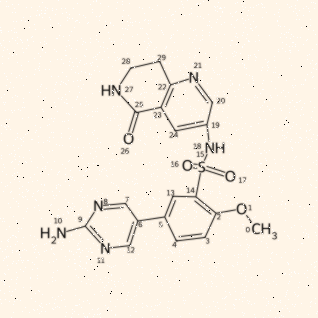 COc1ccc(-c2cnc(N)nc2)cc1S(=O)(=O)Nc1cnc2c(c1)C(=O)NCC2